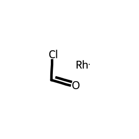 O=CCl.[Rh]